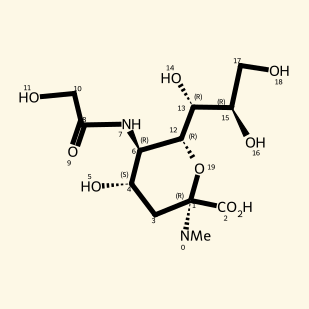 CN[C@]1(C(=O)O)C[C@H](O)[C@@H](NC(=O)CO)[C@H]([C@H](O)[C@H](O)CO)O1